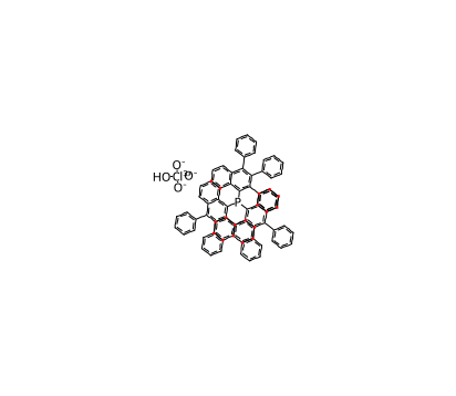 [O-][Cl+3]([O-])([O-])O.c1ccc(-c2c(-c3ccccc3)c(P(c3c(-c4ccccc4)c(-c4ccccc4)c(-c4ccccc4)c4ccccc34)c3c(-c4ccccc4)c(-c4ccccc4)c(-c4ccccc4)c4ccccc34)c3ccccc3c2-c2ccccc2)cc1